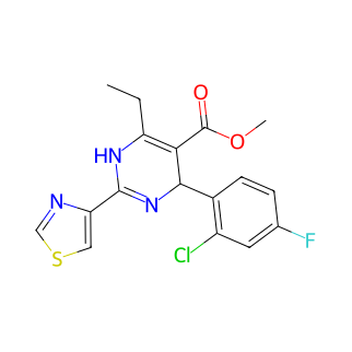 CCC1=C(C(=O)OC)C(c2ccc(F)cc2Cl)N=C(c2cscn2)N1